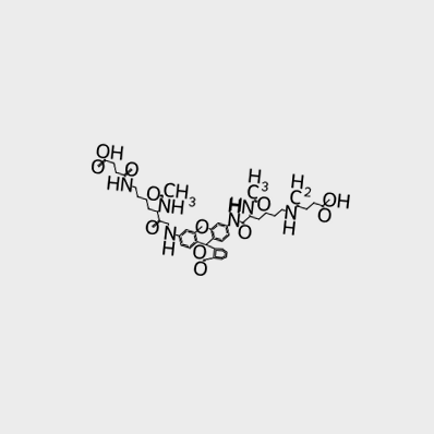 C=C(CCC(=O)O)NCCCCC(NC(C)=O)C(=O)Nc1ccc2c(c1)Oc1cc(NCC(=O)C(CCCCNC(=O)CCC(=O)O)NC(C)=O)ccc1C21OC(=O)c2ccccc21